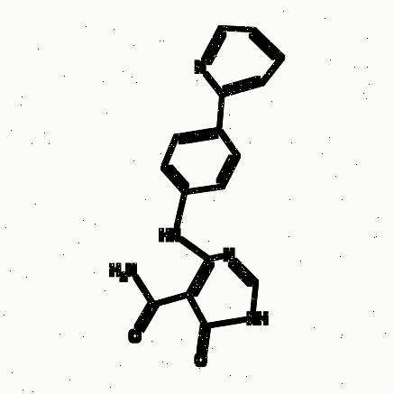 NC(=O)c1c(Nc2ccc(-c3ccccn3)cc2)nc[nH]c1=O